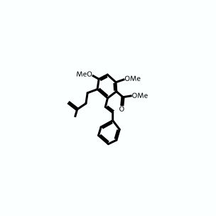 C=C(C)CCc1c(OC)cc(OC)c(C(=O)OC)c1/C=C/c1ccccc1